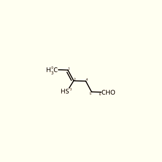 CC=C(S)CCC=O